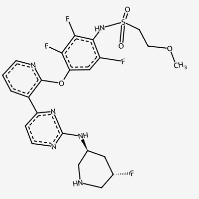 COCCS(=O)(=O)Nc1c(F)cc(Oc2ncccc2-c2ccnc(N[C@@H]3CNC[C@@H](F)C3)n2)c(F)c1F